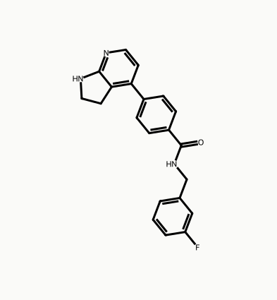 O=C(NCc1cccc(F)c1)c1ccc(-c2ccnc3c2CCN3)cc1